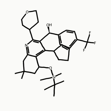 CC1(C)Cc2nc(C3CCOCC3)c([C@@H](O)c3ccc(C(F)(F)F)cc3)c(C3C=CCC3)c2C(O[Si](C)(C)C(C)(C)C)C1